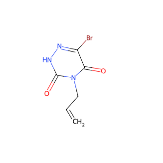 C=CCn1c(=O)[nH]nc(Br)c1=O